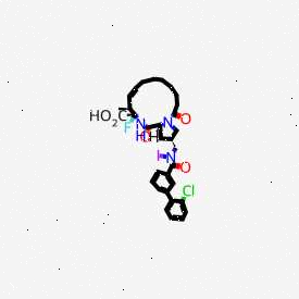 C[C@H]1/C=C\CCCCCCC(=O)N2C[C@H](CN(I)C(=O)c3cccc(-c4ccccc4Cl)c3)C[C@H]2C(=O)N[C@@]1(F)C(=O)O